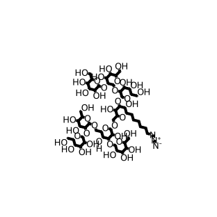 [N-]=[N+]=NCCCCCCC1OC(COC2OC(COC3OC(CO)C(O)C(O)C3OC3OC(CO)C(O)C(O)C3O)C(O)C(OC3OC(CO)C(O)C(O)C3O)C2O)C(O)C(OC2OC(CO)C(O)C(O)C2OC2OC(CO)C(O)C(O)C2OC2OC(CO)C(O)C(O)C2O)C1O